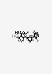 CCC(=C(C(=O)O)C(=O)O)N(CC)c1cccc(-c2c(C)noc2C)c1